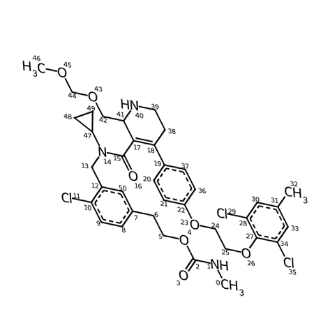 CNC(=O)OCCc1ccc(Cl)c(CN(C(=O)C2=C(c3ccc(OCCOc4c(Cl)cc(C)cc4Cl)cc3)CCNC2COCOC)C2CC2)c1